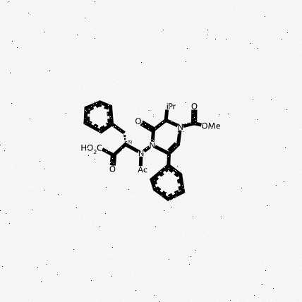 COC(=O)N1C=C(c2ccccc2)N(N(C(C)=O)[C@@H](Cc2ccccc2)C(=O)C(=O)O)C(=O)C1C(C)C